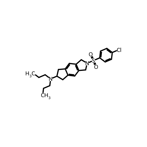 CCCN(CCC)C1Cc2cc3c(cc2C1)CN(S(=O)(=O)c1ccc(Cl)cc1)C3